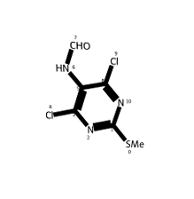 CSc1nc(Cl)c(NC=O)c(Cl)n1